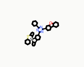 c1ccc(-c2nc(-c3ccc4c(c3)[Si]3(c5ccccc5Sc5ccccc53)c3ccccc3-4)nc(-c3ccc4c(c3)oc3ccccc34)n2)cc1